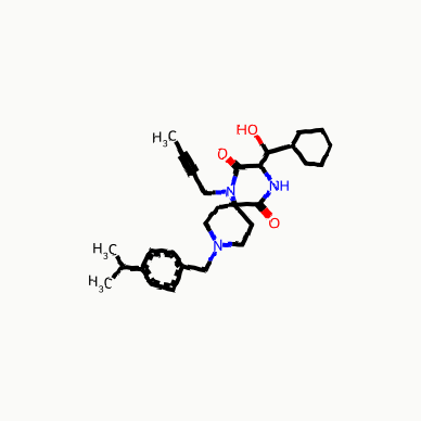 CC#CCN1C(=O)C(C(O)C2CCCCC2)NC(=O)C12CCN(Cc1ccc(C(C)C)cc1)CC2